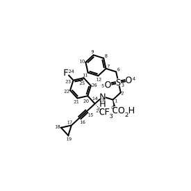 O=C(O)[C@H](CS(=O)(=O)Cc1ccccc1)N[C@@](C#CC1CC1)(c1ccc(F)cc1)C(F)(F)F